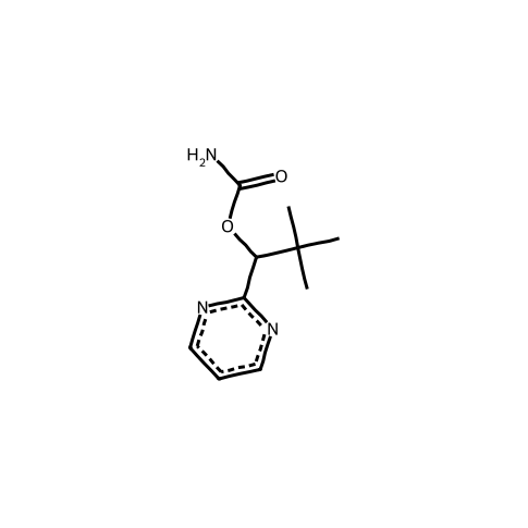 CC(C)(C)C(OC(N)=O)c1ncccn1